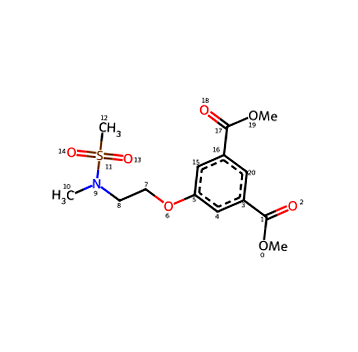 COC(=O)c1cc(OCCN(C)S(C)(=O)=O)cc(C(=O)OC)c1